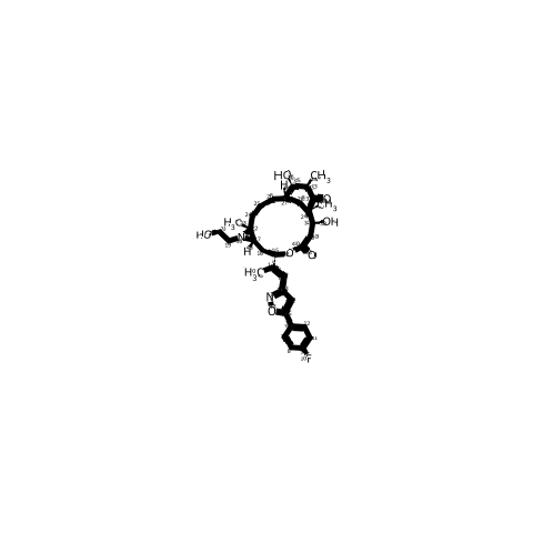 C/C(=C\c1cc(-c2ccc(F)cc2)on1)[C@@H]1C[C@@H]2N(CCO)[C@]2(C)CCC[C@@H]2C[C@@](C)(C(=O)[C@H](C)[C@H]2O)[C@@H](O)CC(=O)O1